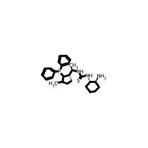 CC1CC[C@@H]([C@@H](C)NC(=S)N[C@H]2CCCC[C@@H]2N)C1P(c1ccccc1)c1ccccc1